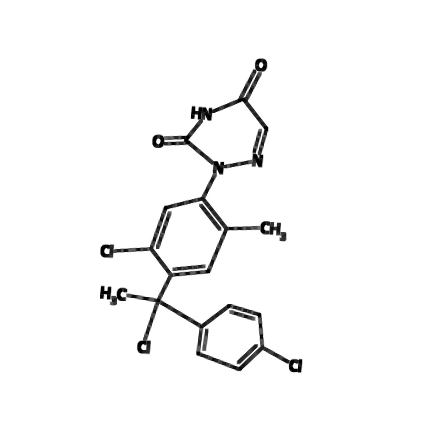 Cc1cc(C(C)(Cl)c2ccc(Cl)cc2)c(Cl)cc1-n1ncc(=O)[nH]c1=O